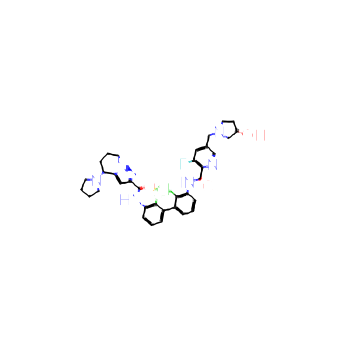 O=C(Nc1cccc(-c2cccc(NC(=O)c3ncc(CN4CC[C@@H](O)C4)cc3F)c2Cl)c1Cl)c1cc2n(n1)CCCC2N1CCCC1